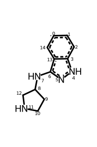 [c]1ccc2[nH]nc(NC3CCNC3)c2c1